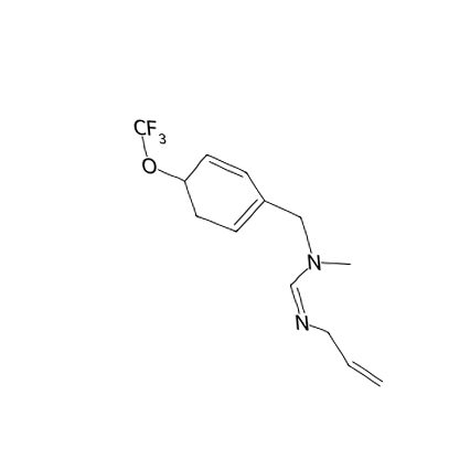 C=CC/N=C\N(C)CC1=CCC(OC(F)(F)F)C=C1